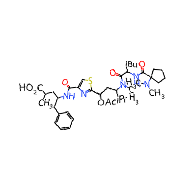 CCC(C)C(NC(=O)C1(N(C)C)CCCC1)C(=O)N(C)C(CC(OC(C)=O)c1nc(C(=O)NC(Cc2ccccc2)CC(C)C(=O)O)cs1)C(C)C